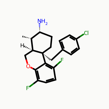 C[C@@H]1[C@H](N)CC[C@@]2(Cc3ccc(Cl)cc3)c3c(F)ccc(F)c3OC[C@@H]12